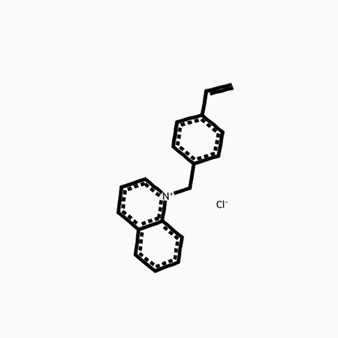 C=Cc1ccc(C[n+]2cccc3ccccc32)cc1.[Cl-]